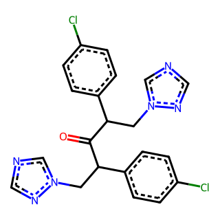 O=C(C(Cn1cncn1)c1ccc(Cl)cc1)C(Cn1cncn1)c1ccc(Cl)cc1